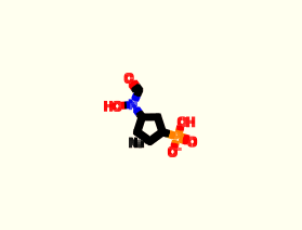 O=CN(O)C1CCC(P(=O)([O-])O)C1.[Na+]